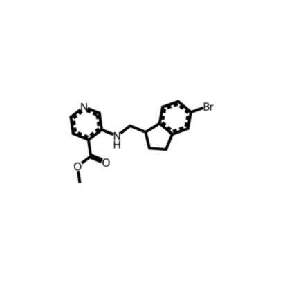 COC(=O)c1ccncc1NCC1CCc2cc(Br)ccc21